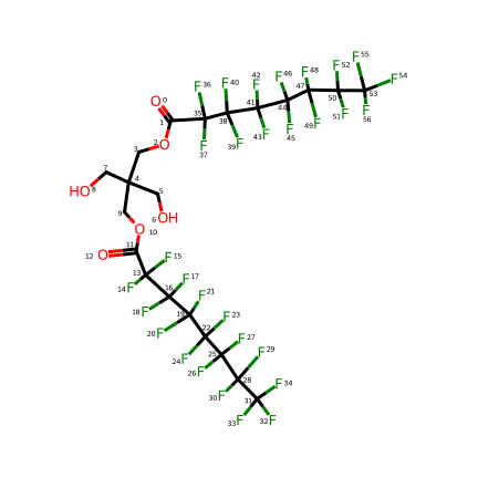 O=C(OCC(CO)(CO)COC(=O)C(F)(F)C(F)(F)C(F)(F)C(F)(F)C(F)(F)C(F)(F)C(F)(F)F)C(F)(F)C(F)(F)C(F)(F)C(F)(F)C(F)(F)C(F)(F)C(F)(F)F